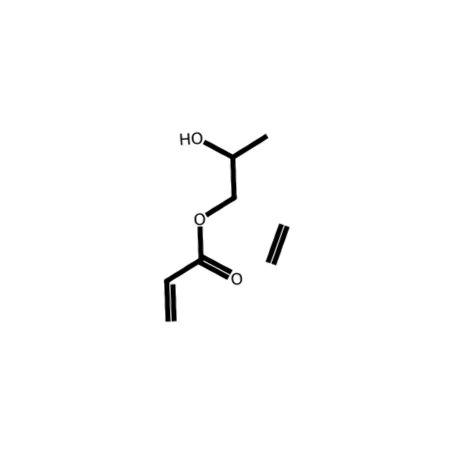 C=C.C=CC(=O)OCC(C)O